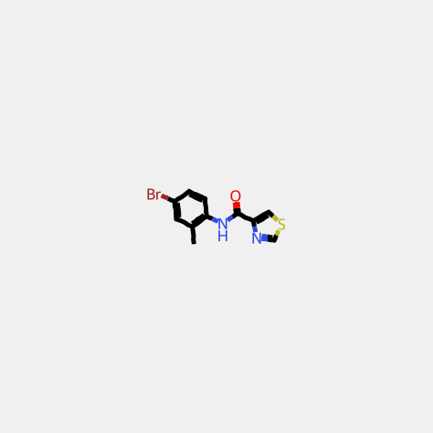 Cc1cc(Br)ccc1NC(=O)c1cscn1